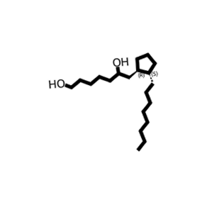 CCCCCCCC[C@H]1CCC[C@@H]1CC(O)CCCCCO